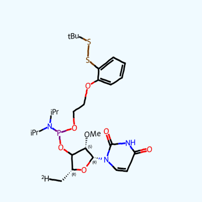 [2H]C[C@H]1O[C@@H](n2ccc(=O)[nH]c2=O)[C@@H](OC)C1OP(OCCOc1ccccc1SSC(C)(C)C)N(C(C)C)C(C)C